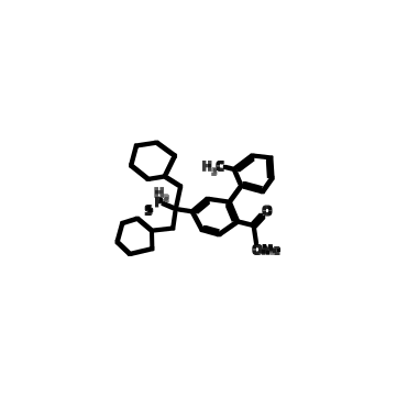 COC(=O)c1ccc(C(CC2CCCCC2)(CC2CCCCC2)[PH2]=S)cc1-c1ccccc1C